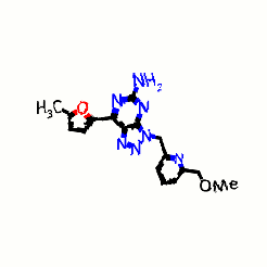 COCc1cccc(Cn2nnc3c(-c4ccc(C)o4)nc(N)nc32)n1